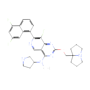 CN(c1nc(OCC23CCCN2CCC3)nc2c(F)c(-c3cccc4c(F)cc(F)cc34)ncc12)C1CCNC1